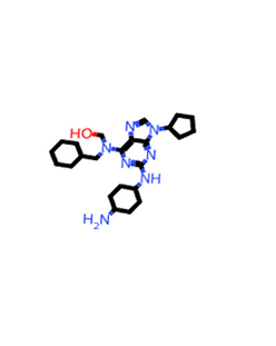 NC1CCC(Nc2nc(N(CO)CC3CCCCC3)c3ncn(C4CCCC4)c3n2)CC1